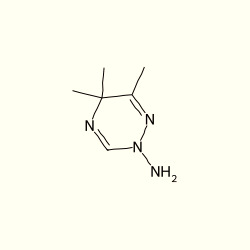 CC1=NN(N)C=NC1(C)C